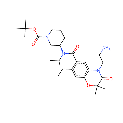 CCc1cc2c(cc1C(=O)N(C(C)C)[C@@H]1CCCN(C(=O)OC(C)(C)C)C1)N(CCN)C(=O)C(C)(C)O2